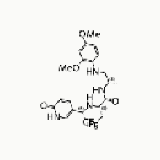 COc1ccc(NC[C@H](C)NC(=O)[C@H](CC(C)C)N[C@@H](c2ccc(=O)[nH]c2)C(F)(F)F)c(OC)c1